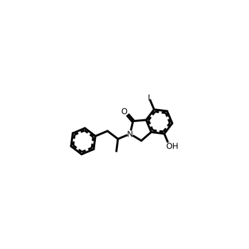 CC(Cc1ccccc1)N1Cc2c(O)ccc(I)c2C1=O